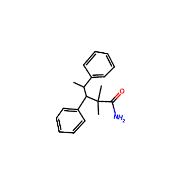 CC(c1ccccc1)C(c1ccccc1)C(C)(C)C(N)=O